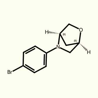 Brc1ccc(N2C[C@H]3C[C@@H]2CO3)cc1